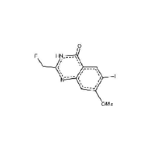 COc1cc2nc(CF)[nH]c(=O)c2cc1I